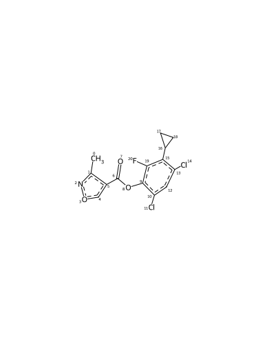 Cc1nocc1C(=O)Oc1c(Cl)cc(Cl)c(C2CC2)c1F